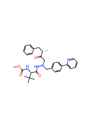 COC(=O)N[C@@H](C(=O)NN(CC(=O)[C@@H](C)Cc1ccccc1)Cc1ccc(-c2ccccn2)cc1)C(C)(C)C